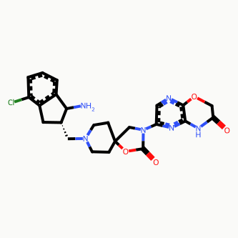 NC1c2cccc(Cl)c2C[C@H]1CN1CCC2(CC1)CN(c1cnc3c(n1)NC(=O)CO3)C(=O)O2